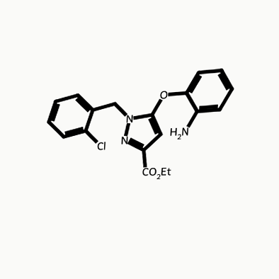 CCOC(=O)c1cc(Oc2ccccc2N)n(Cc2ccccc2Cl)n1